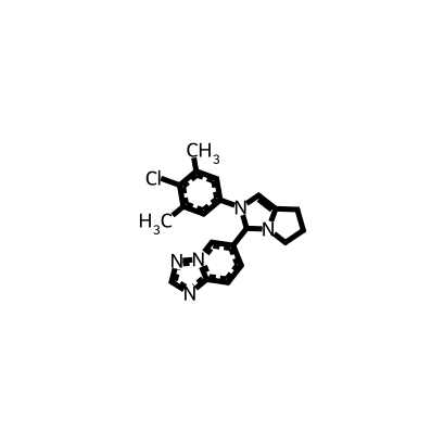 Cc1cc(N2C=C3CCCN3C2c2ccc3ncnn3c2)cc(C)c1Cl